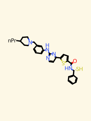 CCCC1CCN(Cc2cccc(Nc3nccc(-c4ccc(C(=O)N[C@H](S)c5ccccc5)s4)n3)c2)CC1